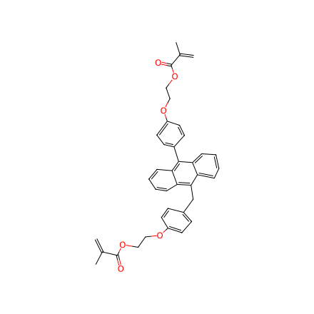 C=C(C)C(=O)OCCOc1ccc(Cc2c3ccccc3c(-c3ccc(OCCOC(=O)C(=C)C)cc3)c3ccccc23)cc1